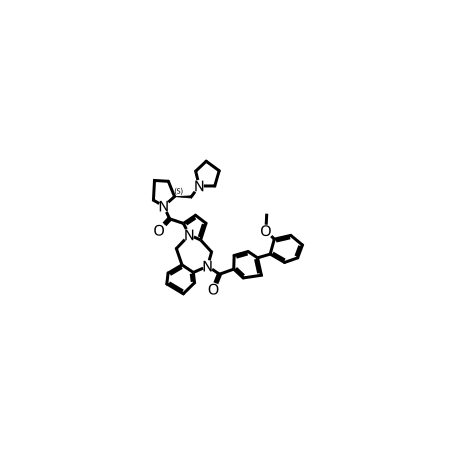 COc1ccccc1-c1ccc(C(=O)N2Cc3ccc(C(=O)N4CCC[C@H]4CN4CCCC4)n3Cc3ccccc32)cc1